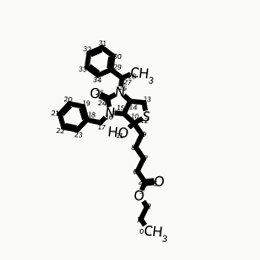 CCCOC(=O)CCCCC1(O)SCC2C1N(Cc1ccccc1)C(=O)N2C(C)c1ccccc1